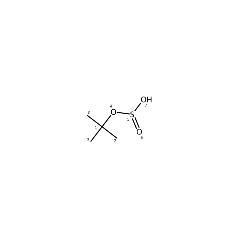 CC(C)(C)OS(=O)O